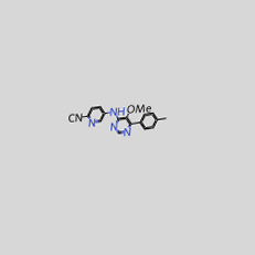 [C-]#[N+]c1ccc(Nc2ncnc(-c3ccc(C)cc3)c2OC)cn1